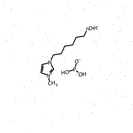 CCCCCCCCCCCCCCCCn1cc[n+](C)c1.[O-]P(O)O